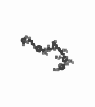 CC(=O)O[C@@H](C)/C=C\C(=O)N[C@@H]1C[C@H](C)[C@H](C/C=C(C)/C=C/[C@@H]2C[C@]3(CO3)C[C@@H](CC(=O)N/N=C(\C)c3ccc(OCCCC(=O)ON4C(=O)CCC4=O)cc3)O2)O[C@@H]1C